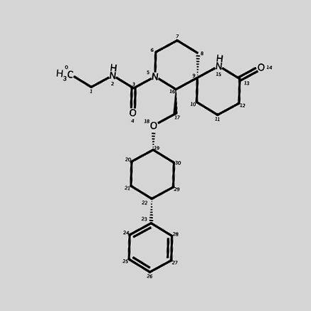 CCNC(=O)N1CCC[C@]2(CCCC(=O)N2)[C@H]1CO[C@H]1CC[C@@H](c2ccccc2)CC1